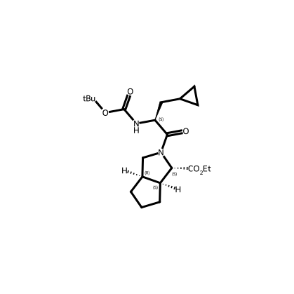 CCOC(=O)[C@@H]1[C@H]2CCC[C@H]2CN1C(=O)[C@H](CC1CC1)NC(=O)OC(C)(C)C